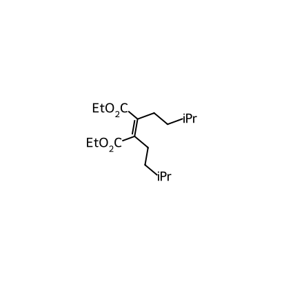 CCOC(=O)/C(CCC(C)C)=C(/CCC(C)C)C(=O)OCC